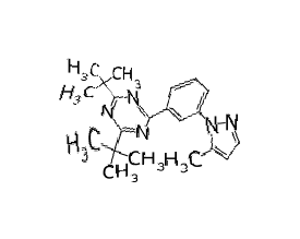 Cc1ccnn1-c1cccc(-c2nc(C(C)(C)C)nc(C(C)(C)C)n2)c1